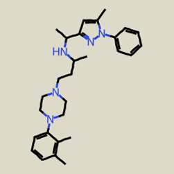 Cc1cccc(N2CCN(CCC(C)NC(C)c3cc(C)n(-c4ccccc4)n3)CC2)c1C